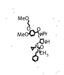 COCCCOc1cc(C(=O)N(C[C@@H]2CNC[C@H]2CN(C(=O)N(C)Cc2ccccc2)C2CC2)C(C)C)ccc1OC